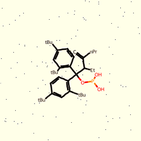 C=C(CCC)C(CC)C(OP(O)O)(c1ccc(C(C)(C)C)cc1C(C)(C)C)c1ccc(C(C)(C)C)cc1C(C)(C)C